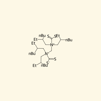 CCCCC(CC)C[N+](CC(CC)CCCC)(C[N+](CC(CC)CCCC)(CC(CC)CCCC)C(=S)[S-])C(=S)[S-]